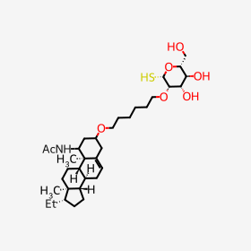 CC[C@H]1CC[C@H]2[C@@H]3CC=C4CC(OCCCCCCO[C@H]5[C@@H](O)[C@H](O)[C@@H](CO)O[C@H]5S)CC(NC(C)=O)[C@]4(C)[C@H]3CC[C@]12C